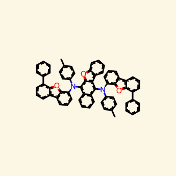 Cc1ccc(N(c2cccc3c2oc2c(-c4ccccc4)cccc23)c2c3ccccc3c(N(c3ccc(C)cc3)c3cccc4c3oc3c(-c5ccccc5)cccc34)c3c2oc2ccccc23)cc1